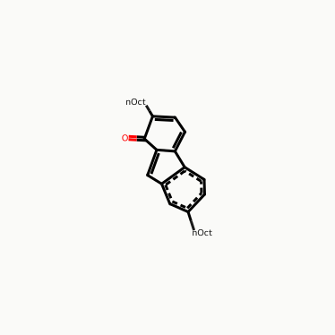 CCCCCCCCC1=CC=C2C(=Cc3cc(CCCCCCCC)ccc32)C1=O